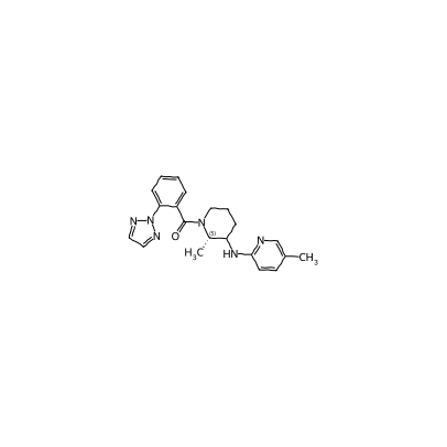 Cc1ccc(NC2CCCN(C(=O)c3ccccc3-n3nccn3)[C@H]2C)nc1